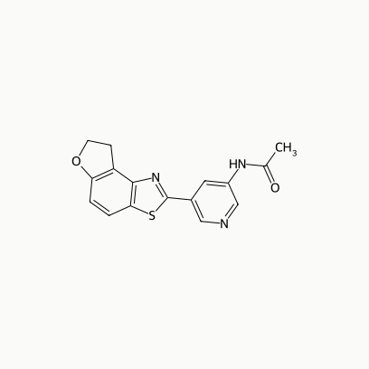 CC(=O)Nc1cncc(-c2nc3c4c(ccc3s2)OCC4)c1